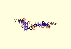 COC(=O)N[C@H](C(=O)N1CCC[C@H]1C1=NCC(c2ccc3c(c2)Oc2ccc(-c4cnc([C@@H]5CCCN5C(=O)[C@@H](NC(=O)OC)C(C)C)[nH]4)cc2S3)N1)C(C)C